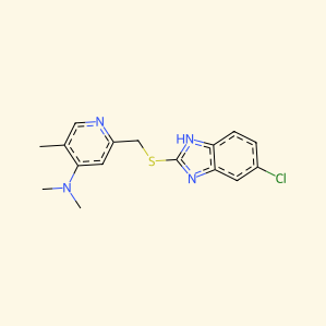 Cc1cnc(CSc2nc3cc(Cl)ccc3[nH]2)cc1N(C)C